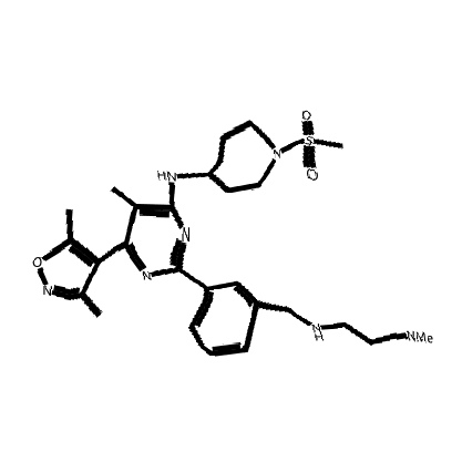 CNCCNCc1cccc(-c2nc(NC3CCN(S(C)(=O)=O)CC3)c(C)c(-c3c(C)noc3C)n2)c1